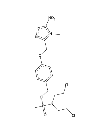 Cn1c([N+](=O)[O-])cnc1COc1ccc(COP(C)(=O)N(CCCl)CCCl)cc1